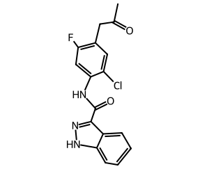 CC(=O)Cc1cc(Cl)c(NC(=O)c2n[nH]c3ccccc23)cc1F